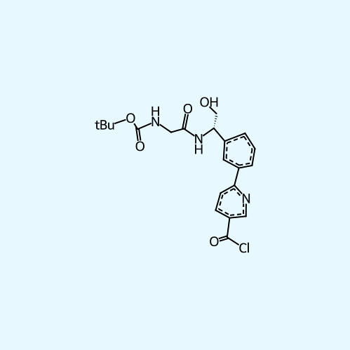 CC(C)(C)OC(=O)NCC(=O)N[C@H](CO)c1cccc(-c2ccc(C(=O)Cl)cn2)c1